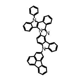 c1ccc(-n2c3ccccc3c3c2c2ccccc2c2nc4c5c6ccccc6n(-c6cc7c8c(cccc8c6)-c6ccccc6-7)c5ccc4n23)cc1